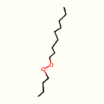 CCCCCCCCCOOCCCC